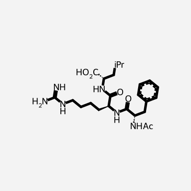 CC(=O)N[C@@H](Cc1ccccc1)C(=O)N[C@@H](CCCCNC(=N)N)C(=O)N[C@@H](CC(C)C)C(=O)O